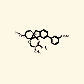 COc1cccc(-c2ccc3c(c2)C24N=C(N)N(C)COC25C[C@@H](OC(C)C)CC[C@]54C3)c1